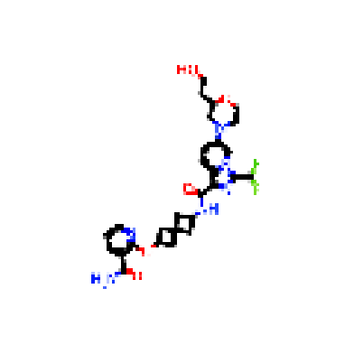 NC(=O)c1cccnc1OC1CC2(CC(NC(=O)c3nc(C(F)F)n4cc(N5CCOC(CCO)C5)ccc34)C2)C1